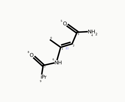 C/C(=C\C(N)=O)NC(=O)C(C)C